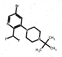 CC(C)(C)N1CCN(c2cc(Br)cnc2C(F)F)CC1